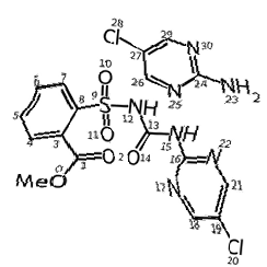 COC(=O)c1ccccc1S(=O)(=O)NC(=O)Nc1ncc(Cl)cn1.Nc1ncc(Cl)cn1